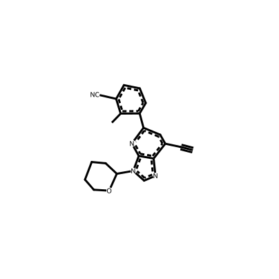 C#Cc1cc(-c2cccc(C#N)c2C)nc2c1ncn2C1CCCCO1